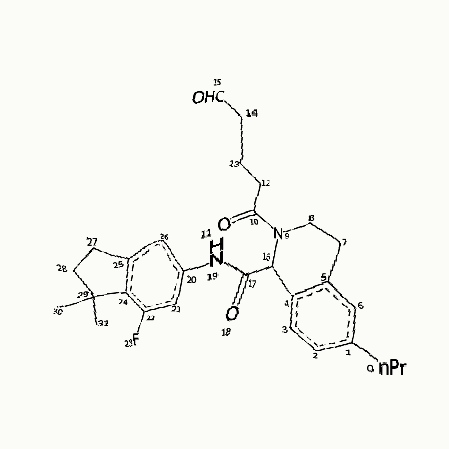 CCCc1ccc2c(c1)CCN(C(=O)CCCC=O)C2C(=O)Nc1cc(F)c2c(c1)CCC2(C)C